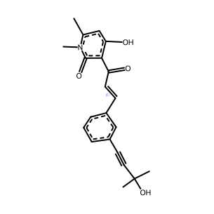 Cc1cc(O)c(C(=O)/C=C/c2cccc(C#CC(C)(C)O)c2)c(=O)n1C